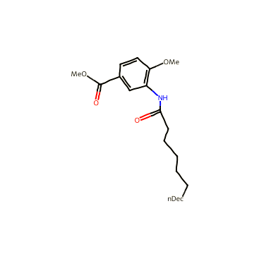 CCCCCCCCCCCCCCCC(=O)Nc1cc(C(=O)OC)ccc1OC